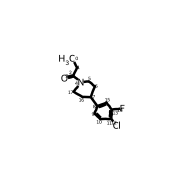 CCC(=O)N1CCC(c2ccc(Cl)c(F)c2)CC1